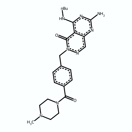 CCCCNc1nc(N)nc2cnn(Cc3ccc(C(=O)N4CCN(C)CC4)cc3)c(=O)c12